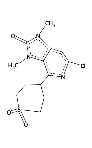 Cn1c(=O)n(C)c2c(C3CCS(=O)(=O)CC3)nc(Cl)cc21